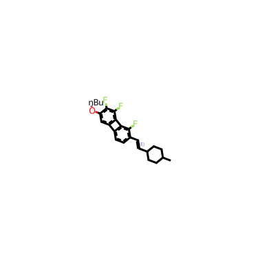 CCCCOc1cc2c(c(F)c1F)-c1c-2ccc(/C=C/C2CCC(C)CC2)c1F